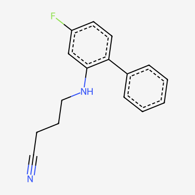 N#CCCCNc1cc(F)ccc1-c1ccccc1